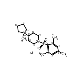 Cc1cc(C)c(S(=O)(=O)N2CCC([N+]3(C)CCCC3)CC2)c(C)c1.[I-]